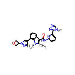 Cc1c(C(=O)Nc2cccc(-c3nncn3C(C)C)n2)c2cccc(-c3cnn(C4COC4)c3)c2n1C